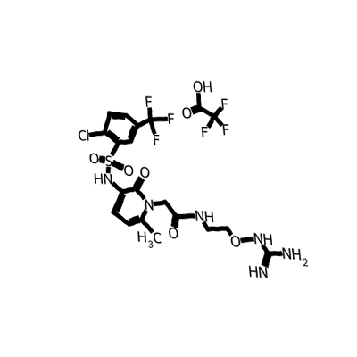 Cc1ccc(NS(=O)(=O)c2cc(C(F)(F)F)ccc2Cl)c(=O)n1CC(=O)NCCONC(=N)N.O=C(O)C(F)(F)F